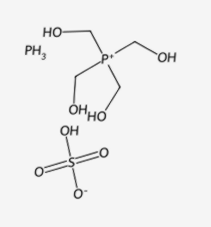 O=S(=O)([O-])O.OC[P+](CO)(CO)CO.P